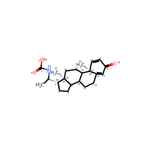 CC(NC(=O)O)[C@H]1CCC2C3CCC4=CC(=O)C=C[C@]4(C)C3CC[C@@]21C